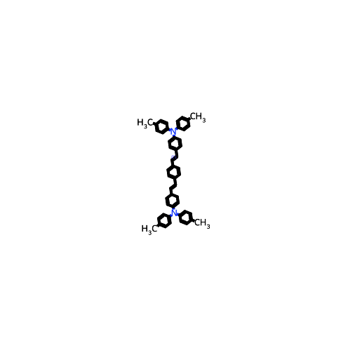 Cc1ccc(N(C2=CCC(C=Cc3ccc(/C=C/c4ccc(N(c5ccc(C)cc5)c5ccc(C)cc5)cc4)cc3)C=C2)c2ccc(C)cc2)cc1